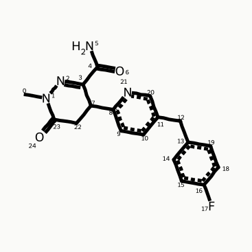 CN1N=C(C(N)=O)C(c2ccc(Cc3ccc(F)cc3)cn2)CC1=O